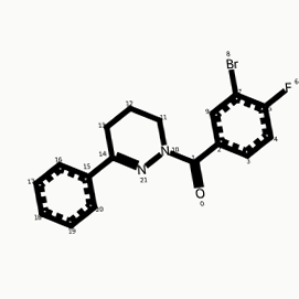 O=C(c1ccc(F)c(Br)c1)N1CCCC(c2ccccc2)=N1